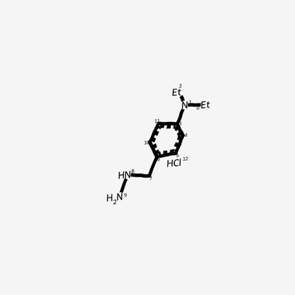 CCN(CC)c1ccc(CNN)cc1.Cl